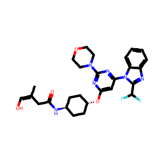 C/C(=C/O)CC(=O)N[C@H]1CC[C@H](Oc2cc(-n3c(C(F)F)nc4ccccc43)nc(N3CCOCC3)n2)CC1